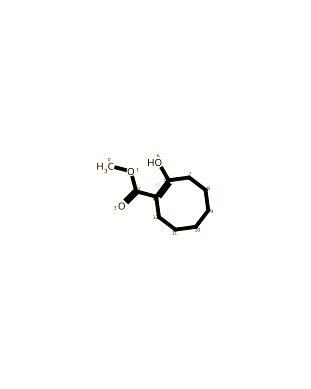 COC(=O)/C1=C(\O)CCCCCC1